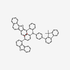 CC1(C)c2ccccc2-c2cccc(-c3ccc(N(c4ccc(-c5cccc6oc7ccccc7c56)cc4)c4ccccc4-c4cccc5c4oc4c6ccccc6ccc54)cc3)c21